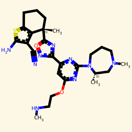 CNCCOc1cc(-c2noc([C@@]3(C)CCCc4sc(N)c(C#N)c43)n2)nc(N2CCCN(C)C[C@@H]2C)n1